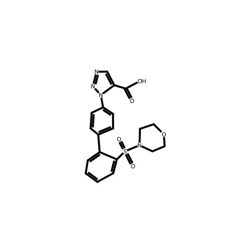 O=C(O)c1cnnn1-c1ccc(-c2ccccc2S(=O)(=O)N2CCOCC2)cc1